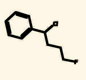 FCCCC(Cl)c1ccccc1